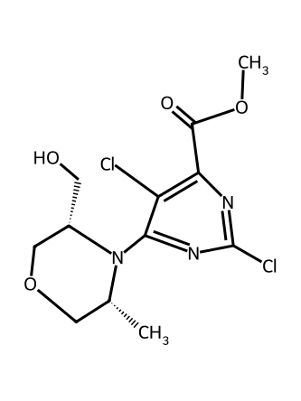 COC(=O)c1nc(Cl)nc(N2[C@@H](CO)COC[C@H]2C)c1Cl